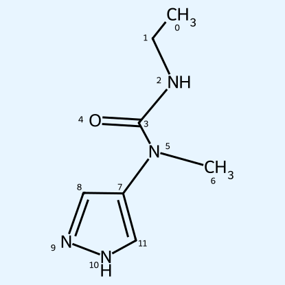 CCNC(=O)N(C)c1cn[nH]c1